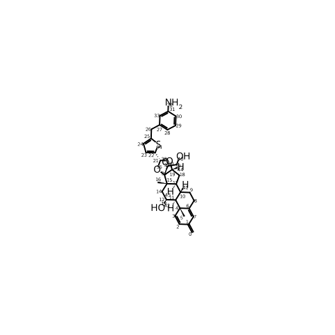 C=C1C=C[C@@]2(C)C(=C1)CC[C@@H]1[C@@H]2[C@@H](O)C[C@@]2(C)[C@H]1C[C@H]1O[C@@H](c3ccc(Cc4cccc(N)c4)s3)O[C@]12C(=O)CO